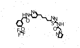 O=C(Cc1cccc(OC(F)(F)F)c1)Nc1ccc(CCCCc2nnc(NC(=O)Cn3cccn3)s2)cn1